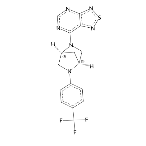 FC(F)(F)c1ccc(N2C[C@@H]3C[C@H]2CN3c2ncnc3nsnc23)cc1